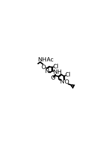 CC(=O)N[C@@H](C)COc1cc(Cl)c(NC(=O)c2cnc(OCC3CC3)c(Cl)c2)cn1